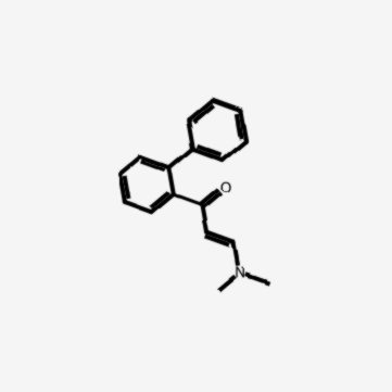 CN(C)/C=C/C(=O)c1ccccc1-c1ccccc1